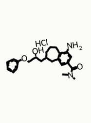 CN(C)C(=O)c1cc(N)c2c(c1)CC(C[C@H](O)COc1ccccc1)CCC2.Cl